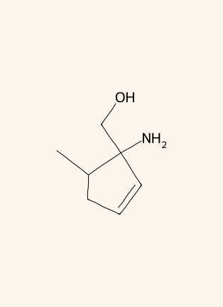 CC1CC=CC1(N)CO